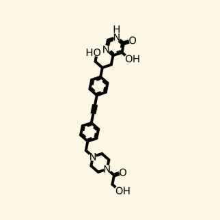 O=C(CO)N1CCN(Cc2ccc(C#Cc3ccc(C(CO)Cc4nc[nH]c(=O)c4O)cc3)cc2)CC1